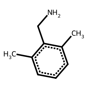 Cc1cccc(C)c1CN